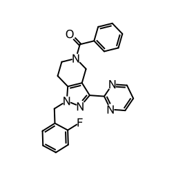 O=C(c1ccccc1)N1CCc2c(c(-c3ncccn3)nn2Cc2ccccc2F)C1